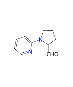 O=CC1CC=CN1c1ccccn1